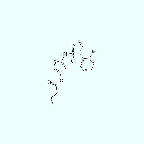 C=CC(c1ccccc1Br)S(=O)(=O)Nc1nc(OC(=O)CCC)cs1